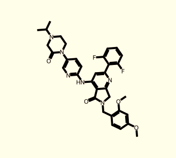 COc1ccc(CN2Cc3nc(-c4c(F)cccc4F)cc(Nc4ccc(N5CCN(C(C)C)CC5=O)cn4)c3C2=O)c(OC)c1